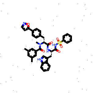 Cc1cc(C)cc(C(=O)N(C)[C@H](Cc2ccc(-c3ccno3)cc2)C(=O)N[C@@H](Cc2c[nH]c3ccccc23)C(=O)NS(=O)(=O)c2ccccc2)c1